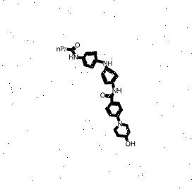 CCCC(=O)Nc1ccc(Nc2ccc(NC(=O)c3ccc(N4CCC(O)CC4)cc3)cc2)cc1